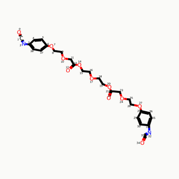 O=C=Nc1ccc(OCCOCC(=O)OCCOCCOC(=O)COCCOc2ccc(N=C=O)cc2)cc1